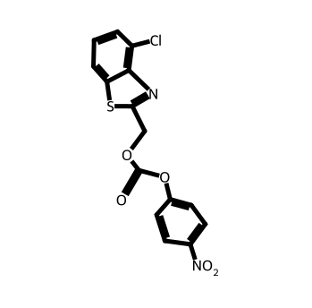 O=C(OCc1nc2c(Cl)cccc2s1)Oc1ccc([N+](=O)[O-])cc1